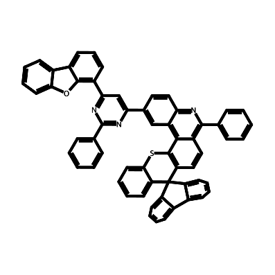 c1ccc(-c2nc(-c3ccc4nc(-c5ccccc5)c5ccc6c(c5c4c3)Sc3ccccc3C63c4ccccc4-c4ccccc43)cc(-c3cccc4c3oc3ccccc34)n2)cc1